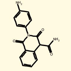 NC(=O)C1C(=O)N(c2ccc(N)cc2)C(=O)c2ccccc21